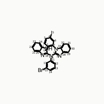 Cc1ccc(I)cc1-n1c(N(c2cccc(Br)c2)c2nc3ccccc3[nH]2)nc2ccccc21